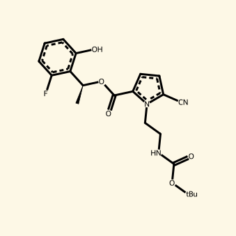 C[C@H](OC(=O)c1ccc(C#N)n1CCNC(=O)OC(C)(C)C)c1c(O)cccc1F